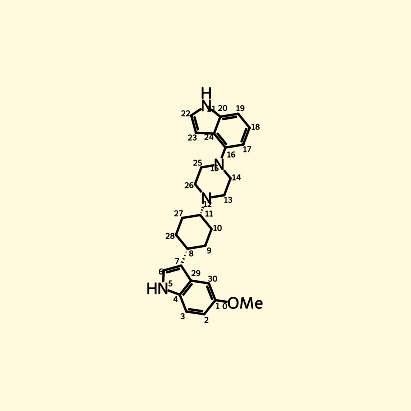 COc1ccc2[nH]cc([C@H]3CC[C@@H](N4CCN(c5cccc6[nH]ccc56)CC4)CC3)c2c1